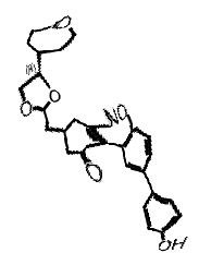 Cc1ccc(-c2ccc(O)cc2)cc1C1=C(N=O)CC(CC2OC[C@@H](C3CCOCC3)O2)CC1=O